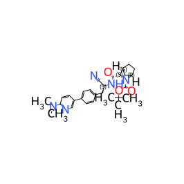 CN(C)c1ccc(-c2ccc(C[C@@H](C#N)NC(=O)[C@@H]3[C@H]4CC[C@H](C4)N3C(=O)OC(C)(C)C)cc2)cn1